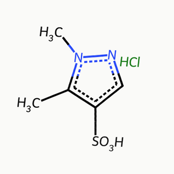 Cc1c(S(=O)(=O)O)cnn1C.Cl